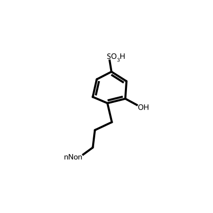 CCCCCCCCCCCCc1ccc(S(=O)(=O)O)cc1O